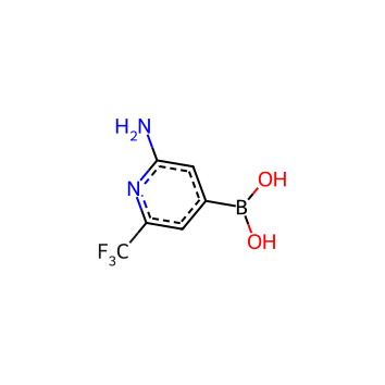 Nc1cc(B(O)O)cc(C(F)(F)F)n1